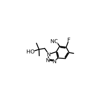 Cc1cc2nnn(CC(C)(C)O)c2c(C#N)c1F